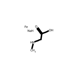 CNCC(=O)O.[Fe].[NaH]